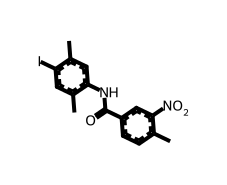 Cc1cc(NC(=O)c2ccc(C)c([N+](=O)[O-])c2)c(C)cc1I